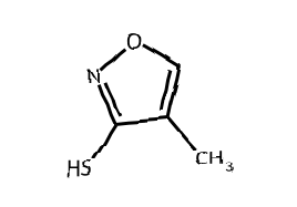 Cc1conc1S